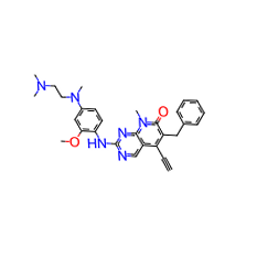 C#Cc1c(Cc2ccccc2)c(=O)n(C)c2nc(Nc3ccc(N(C)CCN(C)C)cc3OC)ncc12